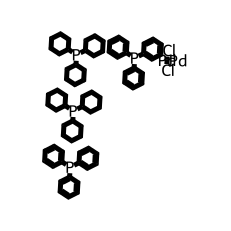 C1CCC(P(C2CCCCC2)C2CCCCC2)CC1.C1CCC(P(C2CCCCC2)C2CCCCC2)CC1.[Cl][Pd][Cl].[Pd].c1ccc(P(c2ccccc2)c2ccccc2)cc1.c1ccc(P(c2ccccc2)c2ccccc2)cc1